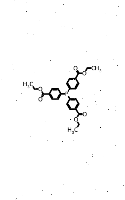 CCOC(=O)c1ccc(P(c2ccc(C(=O)OCC)cc2)c2ccc(C(=O)OCC)cc2)cc1